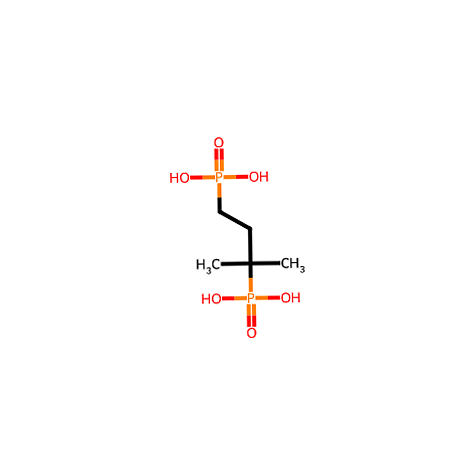 CC(C)(CCP(=O)(O)O)P(=O)(O)O